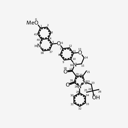 COc1ccc2c(Oc3ccc4c(c3)OCCN4C(=O)c3c(C)n(CC(C)(C)O)n(-c4ccccc4)c3=O)ccnc2c1